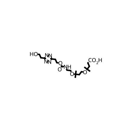 CC(C)(CCOC(C)(C)CCC(=O)O)OCCNC(=O)OCCc1nnc(CCO)nn1